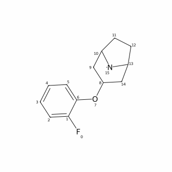 Fc1ccccc1OC1CC2CCC(C1)[N]2